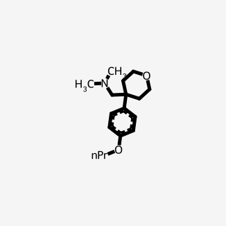 CCCOc1ccc(C2(CN(C)C)CCOCC2)cc1